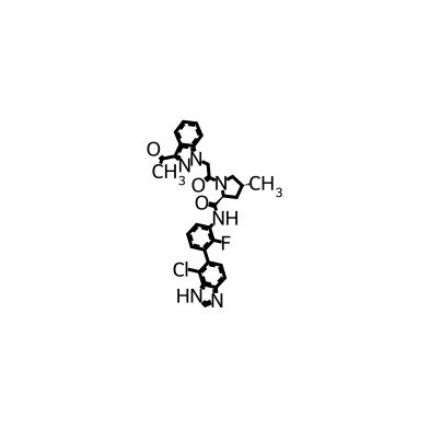 CC(=O)c1nn(CC(=O)N2C[C@H](C)C[C@H]2C(=O)Nc2cccc(-c3ccc4nc[nH]c4c3Cl)c2F)c2ccccc12